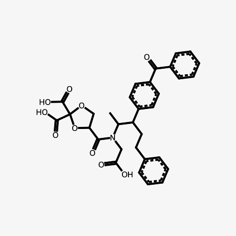 CC(C(CCc1ccccc1)c1ccc(C(=O)c2ccccc2)cc1)N(CC(=O)O)C(=O)C1COC(C(=O)O)(C(=O)O)O1